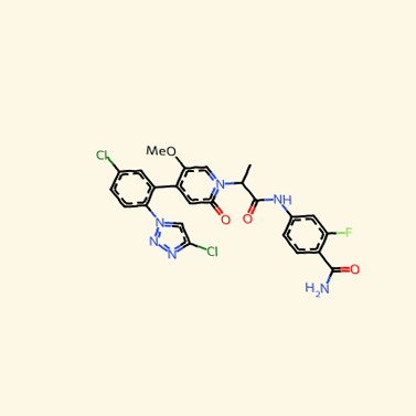 COc1cn(C(C)C(=O)Nc2ccc(C(N)=O)c(F)c2)c(=O)cc1-c1cc(Cl)ccc1-n1cc(Cl)nn1